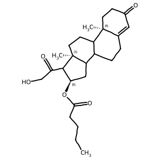 CCCCC(=O)O[C@@H]1CC2C3CCC4=CC(=O)CC[C@]4(C)C3CC[C@]2(C)C1C(=O)CO